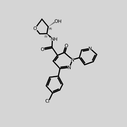 O=C(N[C@H]1COC[C@@H]1O)c1cc(-c2ccc(Cl)cc2)nn(-c2cccnc2)c1=O